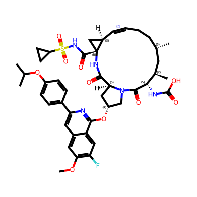 COc1cc2cc(-c3ccc(OC(C)C)cc3)nc(O[C@@H]3C[C@H]4C(=O)N[C@]5(C(=O)NS(=O)(=O)C6CC6)C[C@H]5/C=C\CC[C@H](C)C[C@@H](C)[C@H](NC(=O)O)C(=O)N4C3)c2cc1F